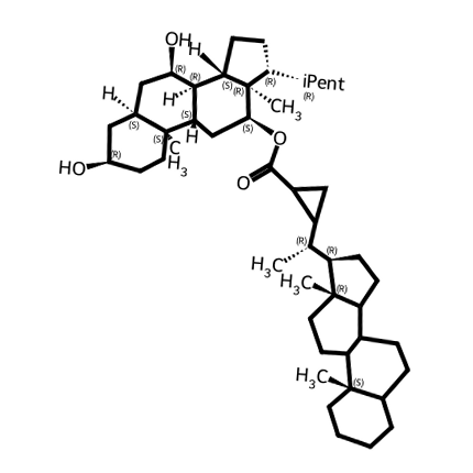 CCC[C@@H](C)[C@H]1CC[C@H]2[C@@H]3[C@H](O)C[C@@H]4C[C@H](O)CC[C@]4(C)[C@H]3C[C@H](OC(=O)C3CC3[C@@H](C)[C@H]3CCC4C5CCC6CCCC[C@]6(C)C5CC[C@@]43C)[C@]12C